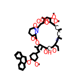 CCC1/C=C(\C)CC(C)CC(OC)C2OC(O)(C(=O)C(=O)N3CCCCC3C(=O)OC(C(C)=CC3CCC(Oc4cc5ccccc5c5ccccc45)C(OC)C3)C(C)C(O)CC1=O)C(C)CC2OC